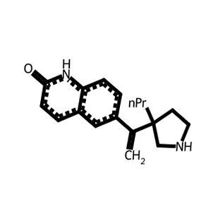 C=C(c1ccc2[nH]c(=O)ccc2c1)C1(CCC)CCNC1